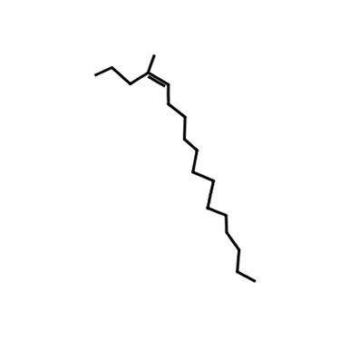 CCCCCCCCCCCCC=C(C)CCC